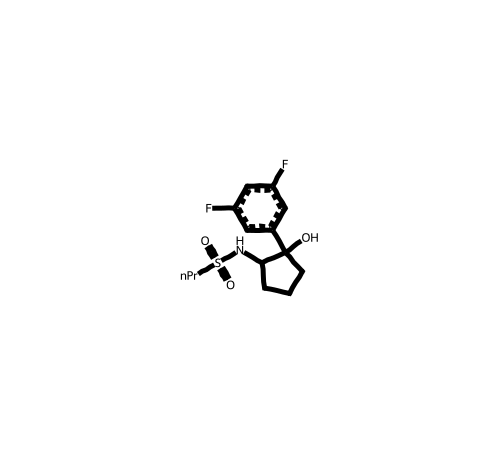 CCCS(=O)(=O)NC1CCCC1(O)c1cc(F)cc(F)c1